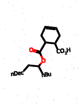 CCCCCCCCCCCC(CCCC)OC(=O)C1CC=CCC1C(=O)O